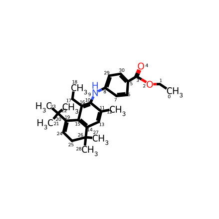 CCOC(=O)c1ccc(Nc2c(C)cc3c(c2CC)C(C(C)(C)C)=CCC3(C)C)cc1